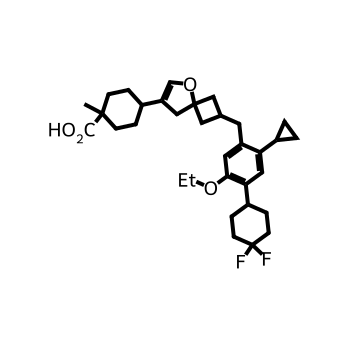 CCOc1cc(CC2CC3(CC(C4CCC(C)(C(=O)O)CC4)=CO3)C2)c(C2CC2)cc1C1CCC(F)(F)CC1